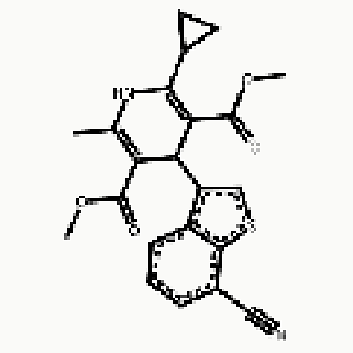 COC(=O)C1=C(C)NC(C2CC2)=C(C(=O)OC)C1c1csc2c(C#N)cccc12